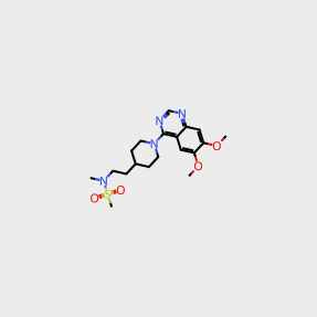 COc1cc2ncnc(N3CCC(CCN(C)S(C)(=O)=O)CC3)c2cc1OC